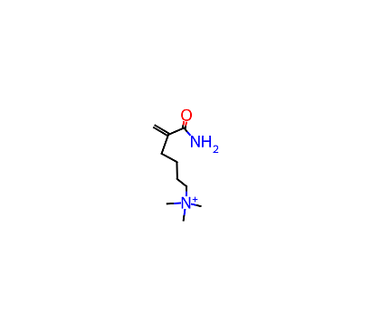 C=C(CCCC[N+](C)(C)C)C(N)=O